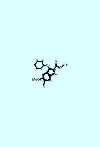 COc1cc2c(OC3CCCCC3)c(C(=O)OC(C)C)sc2cc1F